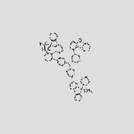 CC1(C)c2ccccc2-c2cccc(-c3ccccc3-c3ccc(N(c4ccc(-c5ccc6c(c5)C(C)(c5ccccc5)c5ccccc5-6)cc4)c4cccc(-c5cccc6oc7ccccc7c56)c4)cc3)c21